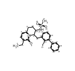 CCc1ccc2n(c1=O)C(Cc1cccc(-c3ccccc3)c1F)C(NS(C)(=O)=O)CC2